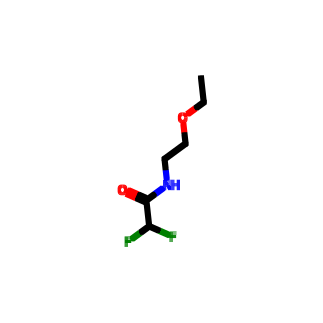 CCOCCNC(=O)C(F)F